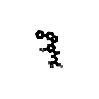 CCNC(C)CNC(=O)c1cc(N)nc(-c2cnn3ccc(-c4ccccc4)nc23)c1